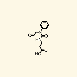 O=CCN(C(=O)NCCC(=O)O)c1ccccc1